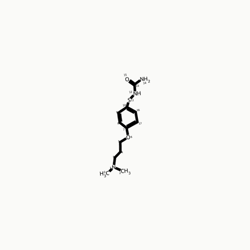 CN(C)CCCOc1ccc(SNC(N)=O)cc1